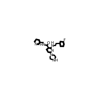 O=C(NCc1cccnc1)c1ccc(N2CCNCC2)nc1NCCc1cccc(F)c1